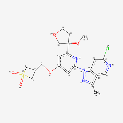 CO[C@]1(c2cc(OCC3CS(=O)(=O)C3)cc(-n3nc(C)c4cnc(Cl)cc43)n2)CCOC1